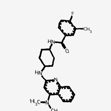 Cc1cc(C(=O)NC2CCC(Nc3cc(N(C)C)c4ccccc4n3)CC2)ccc1F